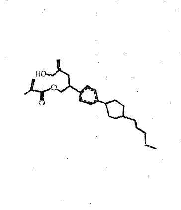 C=C(CO)CC(COC(=O)C(=C)C)c1ccc(C2CCC(CCCCC)CC2)cc1